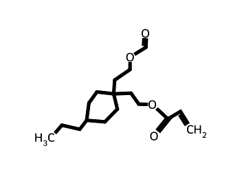 C=CC(=O)OCCC1(CCOC=O)CCC(CCC)CC1